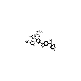 Cc1ccc(Nc2ccc3c(c2)ncn3-c2ccc([C@@H]3C[C@H](F)CN3C(=O)OC(C)(C)C)c(-n3nc(C#N)cc3C)n2)nn1